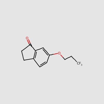 O=C1CCc2ccc(OCCC(F)(F)F)cc21